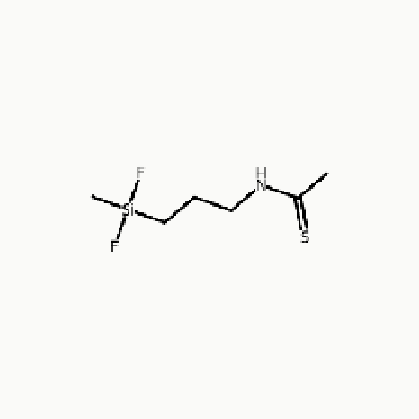 CC(=S)NCCC[Si](C)(F)F